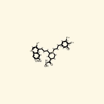 COc1ccc2ncc(F)c(CCCC3CC(C(=O)NO)CCN3CCCc3cc(F)c(F)c(F)c3)c2c1